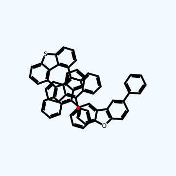 C1=Cc2c(c(-c3ccccc3)c3ccccc3c2-c2cccc3sc4cccc(-c5c6ccccc6c(-c6ccc7oc8ccc(-c9ccccc9)cc8c7c6)c6ccccc56)c4c23)CC1